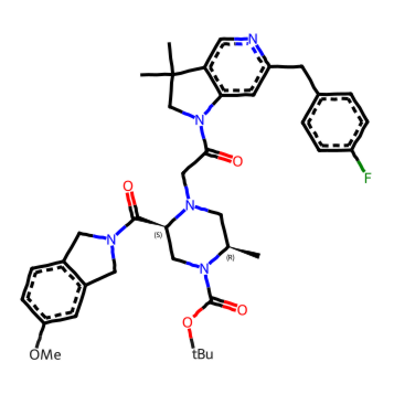 COc1ccc2c(c1)CN(C(=O)[C@@H]1CN(C(=O)OC(C)(C)C)[C@H](C)CN1CC(=O)N1CC(C)(C)c3cnc(Cc4ccc(F)cc4)cc31)C2